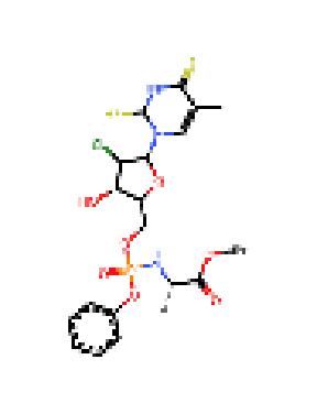 CC1=CN([C@H]2O[C@@H](COP(=O)(N[C@@H](C)C(=O)OC(C)C)Oc3ccccc3)[C@@H](O)C2Cl)C(S)NC1=S